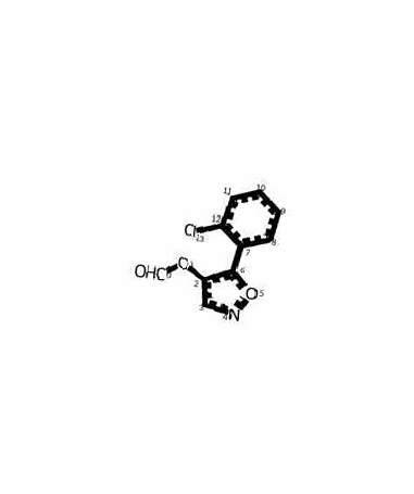 O=COc1cnoc1-c1ccccc1Cl